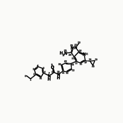 CCc1cccc(NC(=O)Nc2ccc(-c3cc(C4CC4)nc4c3c(N)nn4C)cc2)c1